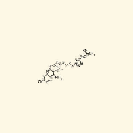 Nc1c2c(nc3cc(Cl)ccc13)CC1CC(CCCCn3cc(COC(=O)C(F)(F)F)nn3)CC2C1